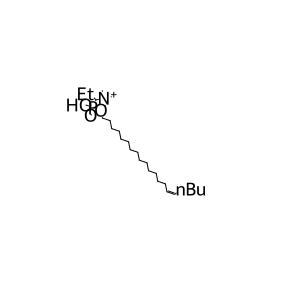 CCCC/C=C\CCCCCCCCCCCCCCOP(=O)(O)C(CC)[N+](C)(C)C